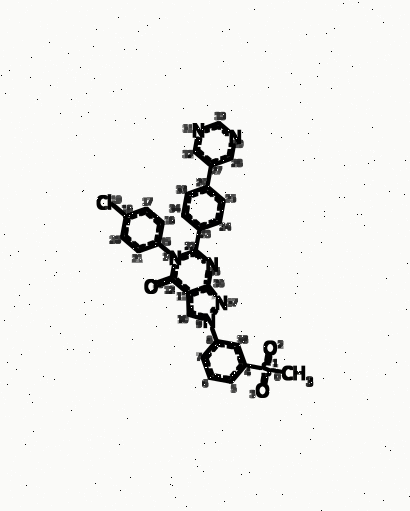 CS(=O)(=O)c1cccc(-n2cc3c(=O)n(-c4ccc(Cl)cc4)c(-c4ccc(-c5cncnc5)cc4)nc3n2)c1